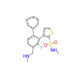 CNCc1ccc(-c2ccccc2)c(-c2ccsc2S(N)(=O)=O)c1F